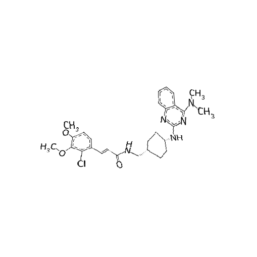 COc1ccc(/C=C/C(=O)NC[C@H]2CC[C@@H](Nc3nc(N(C)C)c4ccccc4n3)CC2)c(Cl)c1OC